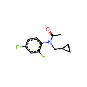 CC(=O)N(CC1CC1)c1ccc(F)cc1F